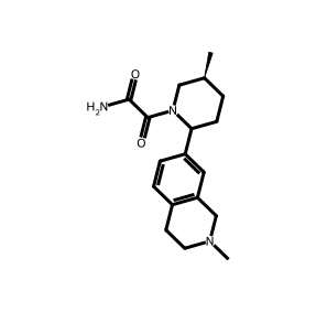 C[C@H]1CCC(c2ccc3c(c2)CN(C)CC3)N(C(=O)C(N)=O)C1